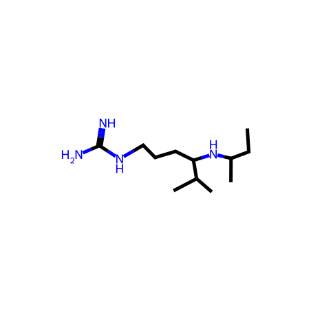 CCC(C)NC(CCCNC(=N)N)C(C)C